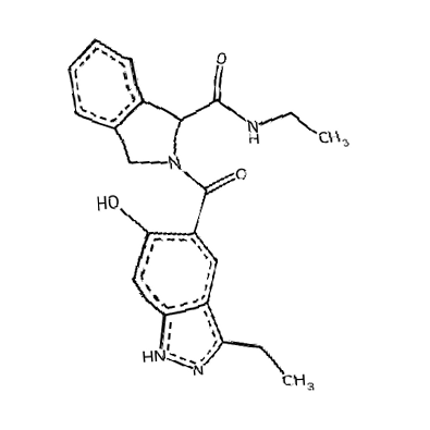 CCNC(=O)C1c2ccccc2CN1C(=O)c1cc2c(CC)n[nH]c2cc1O